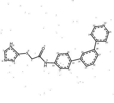 O=C(CSc1nnc[nH]1)Nc1ccc(-c2cccc(-c3ccncc3)c2)cc1